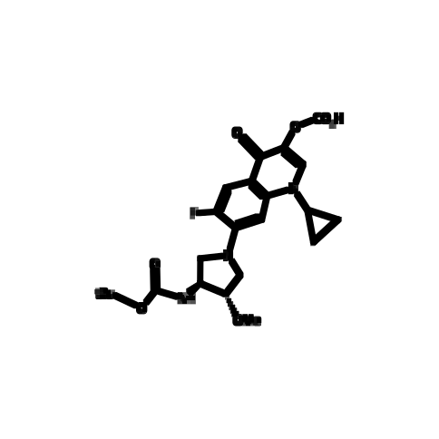 CO[C@H]1CN(c2cc3c(cc2F)c(=O)c(OC(=O)O)cn3C2CC2)C[C@@H]1NC(=O)OC(C)(C)C